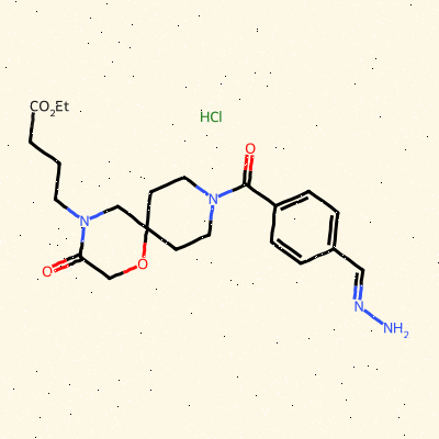 CCOC(=O)CCCN1CC2(CCN(C(=O)c3ccc(C=NN)cc3)CC2)OCC1=O.Cl